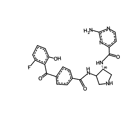 Nc1nccc(C(=O)N[C@@H]2CNCC2NC(=O)c2ccc(C(=O)c3c(O)cccc3F)cc2)n1